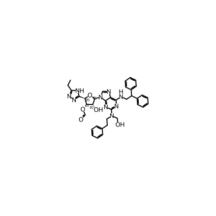 CCc1nnc([C@H]2O[C@@H](n3cnc4c(NCC(c5ccccc5)c5ccccc5)nc(N(CO)CCc5ccccc5)nc43)[C@H](O)[C@@H]2OC=O)[nH]1